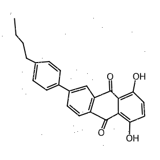 CCCCc1ccc(-c2ccc3c(c2)C(=O)c2c(O)ccc(O)c2C3=O)cc1